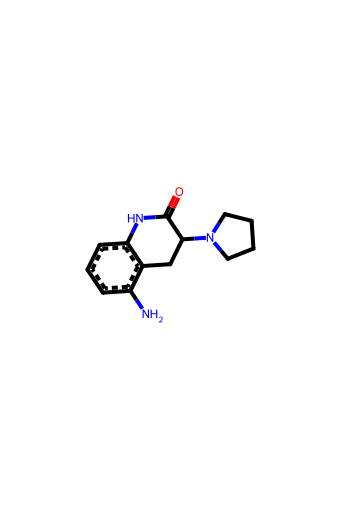 Nc1cccc2c1CC(N1CCCC1)C(=O)N2